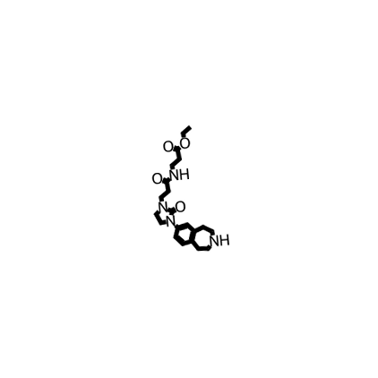 CCOC(=O)CCNC(=O)CCN1CCN(c2ccc3c(c2)CCNCC3)C1=O